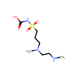 CNCCN(C)CCCS(=O)(=O)NC(=O)O